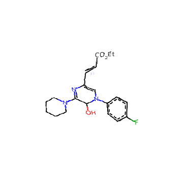 CCOC(=O)/C=C/C1=CN(c2ccc(F)cc2)C(O)C(N2CCCCC2)=N1